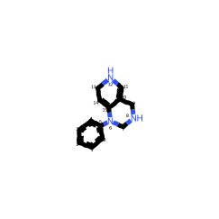 [c]1ccccc1N1CNCC2=CNCC=C21